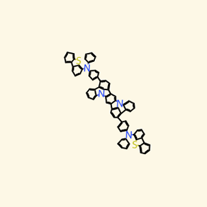 c1ccc(N(c2ccc(-c3ccc4c5cc6c(cc5n5c7ccccc7c3c45)c3ccc(-c4ccc(N(c5ccccc5)c5cccc7c5sc5ccccc57)cc4)c4c5ccccc5n6c34)cc2)c2cccc3c2sc2ccccc23)cc1